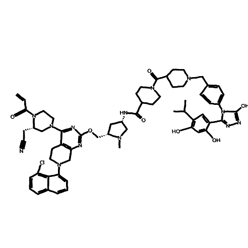 C=CC(=O)N1CCN(c2nc(OC[C@@H]3C[C@H](NC(=O)C4CCN(C(=O)C5CCN(Cc6ccc(-n7c(O)nnc7-c7cc(C(C)C)c(O)cc7O)cc6)CC5)CC4)CN3C)nc3c2CCN(c2cccc4cccc(Cl)c24)C3)C[C@@H]1CC#N